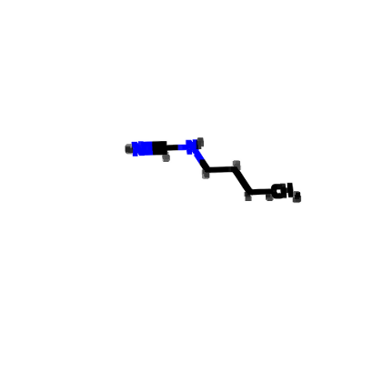 CCCC[N]C#N